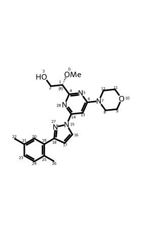 CO[C@@H](CO)c1nc(N2CCOCC2)cc(-n2ccc(-c3cc(C)ccc3C)n2)n1